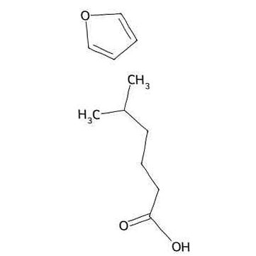 CC(C)CCCC(=O)O.c1ccoc1